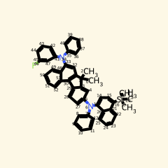 CC1(C)c2cc(N(c3ccccc3)c3ccc([Si](C)(C)C)c4ccccc34)ccc2-c2c1cc(N(c1ccccc1)c1cccc(F)c1)c1ccccc21